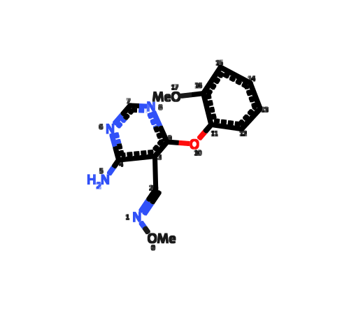 CON=Cc1c(N)ncnc1Oc1ccccc1OC